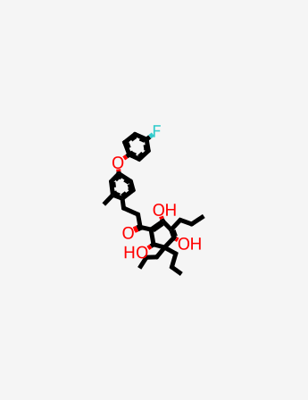 CCCC1=C(O)C(CCC)(CCC)C(O)C(C(=O)CCc2ccc(Oc3ccc(F)cc3)cc2C)=C1O